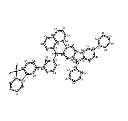 CC1(C)c2ccccc2-c2cc(-c3cccc(N4c5cc6c(cc5-c5cccc7cccc4c57)c4cc(-c5ccccc5)ccc4n6-c4ccccn4)n3)ccc21